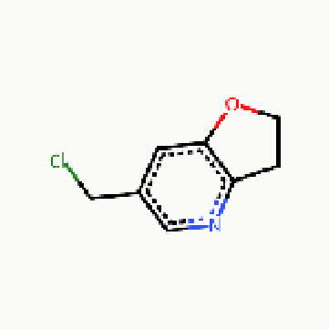 ClCc1cnc2c(c1)OCC2